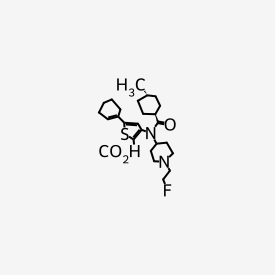 C[C@H]1CC[C@H](C(=O)N(c2cc(C3=CCCCC3)sc2C(=O)O)C2CCN(CCF)CC2)CC1